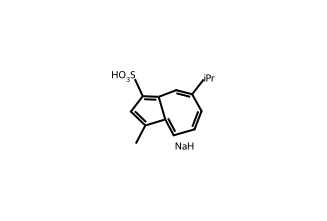 Cc1cc(S(=O)(=O)O)c2cc(C(C)C)cccc1-2.[NaH]